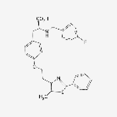 Cc1sc(-c2ccccc2)nc1CCOc1ccc(C[C@H](NCc2ccc(F)cc2)C(=O)O)cc1